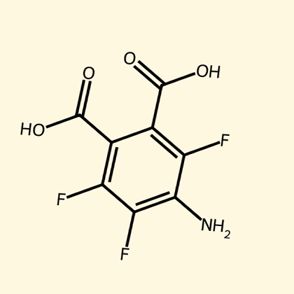 Nc1c(F)c(F)c(C(=O)O)c(C(=O)O)c1F